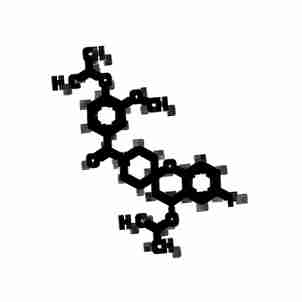 COc1cc(C(=O)N2CCC3(CC2)C[C@@H](OC(C)C)c2cc(F)ccc2O3)ccc1OC(C)C